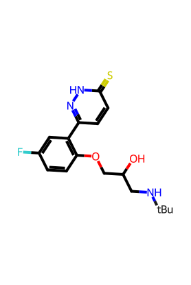 CC(C)(C)NCC(O)COc1ccc(F)cc1-c1ccc(=S)[nH]n1